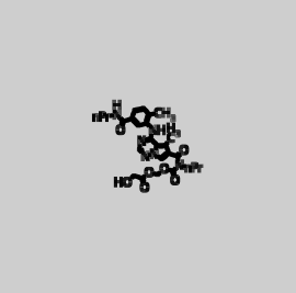 CCCNC(=O)c1ccc(C)c(Nc2ncnn3cc(C(=O)N(CCC)C(=O)OCOC(=O)CO)c(C)c23)c1